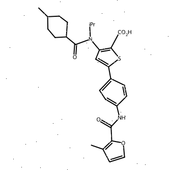 Cc1ccoc1C(=O)Nc1ccc(-c2cc(N(C(=O)C3CCC(C)CC3)C(C)C)c(C(=O)O)s2)cc1